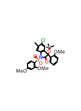 COc1ccc(S(=O)(=O)N2C(=O)C(O[Si](C)(C)C)(c3ccccc3OC)c3cc(Cl)c(C)cc32)c(OC)c1